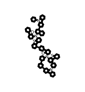 c1ccc(-n2c3ccccc3c3ccc(-c4cccc(-c5cccc(N(c6cccc7c6oc6cc(-c8cccc9sc%10c(N(c%11ccc(-c%12ccc%13c%14ccccc%14n(-c%14ccccc%14)c%13c%12)c%12ccccc%11%12)c%11cccc%12c%11oc%11ccccc%11%12)cccc%10c89)ccc67)c6cccc7c6sc6ccccc67)c5)c4)cc32)cc1